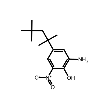 CC(C)(C)CC(C)(C)c1cc(N)c(O)c([N+](=O)[O-])c1